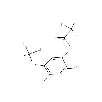 Nc1cc(Cl)c(SC(F)(F)F)cc1NC(=O)C(F)(F)F